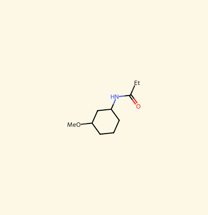 CCC(=O)NC1CCCC(OC)C1